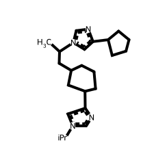 CC(C)n1cnc(C2CCCC(CC(C)n3cnc(C4CCCC4)c3)C2)c1